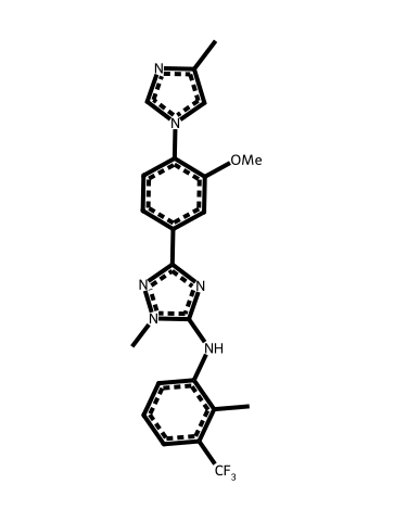 COc1cc(-c2nc(Nc3cccc(C(F)(F)F)c3C)n(C)n2)ccc1-n1cnc(C)c1